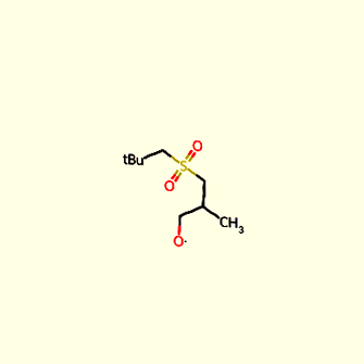 CC(C[O])CS(=O)(=O)CC(C)(C)C